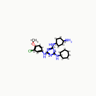 COc1ccc(Nc2nc(NC3CCCCCC3)nc(NC3CCC(N)CC3)n2)cc1Cl